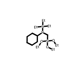 CCO[Si](CN(C1CCCCC1)[Si](CC)(CC)CC)(OCC)OCC